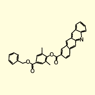 Cc1cc(C(=O)OCc2ccccc2)cc(C)c1OC(=O)c1ccc2cc3nc4ccccc4cc3cc2c1